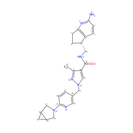 Nc1ccc2c(n1)CC[C@H]2CNC(=O)c1cn(Cc2ccc(N3CC4CC4C3)nc2)nc1C(F)(F)F